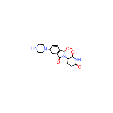 O=C1CCC(N2C(=O)C3=C(C=CC(N4CCNCC4)C3)C2O)C(O)N1